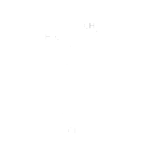 C=C(C)C#CCCO